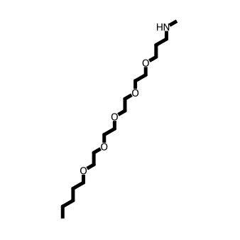 CCCCCOCCOCCOCCOCCOCCCNC